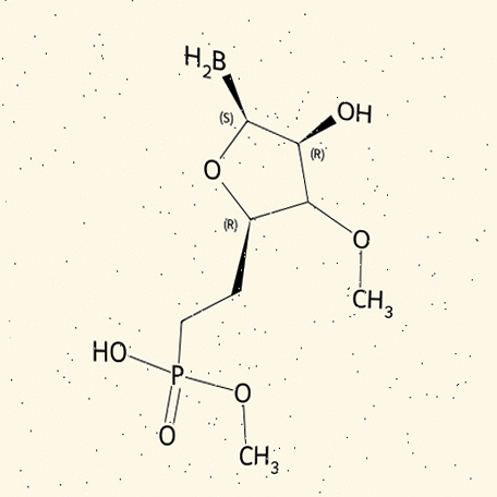 B[C@@H]1O[C@H](CCP(=O)(O)OC)C(OC)[C@@H]1O